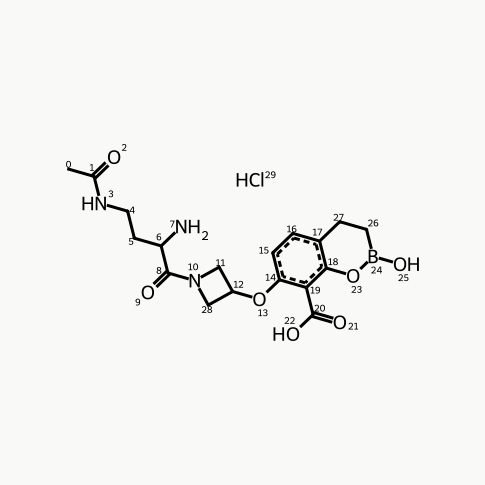 CC(=O)NCCC(N)C(=O)N1CC(Oc2ccc3c(c2C(=O)O)OB(O)CC3)C1.Cl